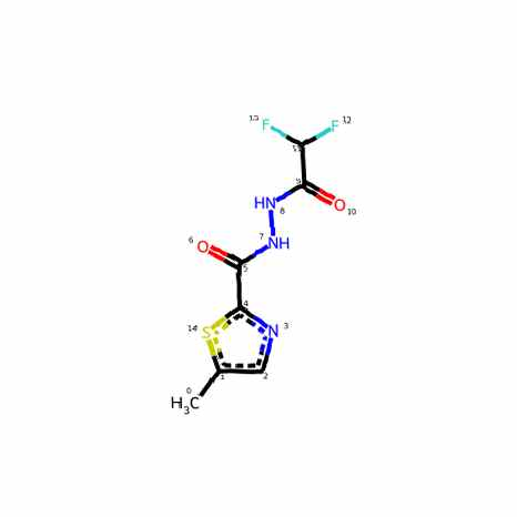 Cc1cnc(C(=O)NNC(=O)C(F)F)s1